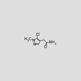 Cn1ncc([CH]C(N)=O)c1Cl